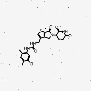 Cc1cc(C)c(NC(=O)NCc2csc3c2CN(C2CCC(=O)NC2=O)C3=O)cc1Cl